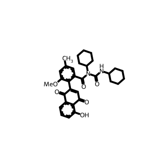 COc1cc(C)cc(C(=O)N(C(=O)NC2CCCCC2)C2CCCCC2)c1C1=CC(=O)c2c(O)cccc2C1=O